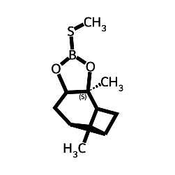 CSB1OC2CC3C4CC(C34C)[C@]2(C)O1